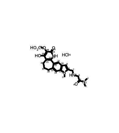 CN(C)C(=O)CNCc1cc2cc3c(cc2n1C)CCCc1c-3[nH]c(=O)c(OC(=O)O)c1O.Cl